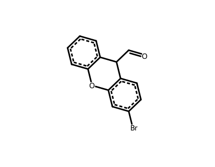 O=CC1c2ccccc2Oc2cc(Br)ccc21